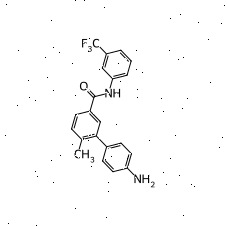 Cc1ccc(C(=O)Nc2cccc(C(F)(F)F)c2)cc1-c1ccc(N)cc1